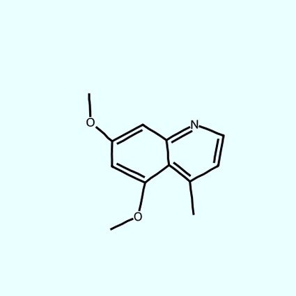 COc1cc(OC)c2c(C)ccnc2c1